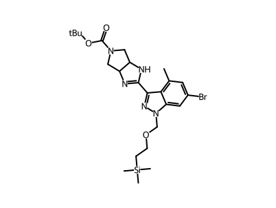 Cc1cc(Br)cc2c1c(C1=NC3CN(C(=O)OC(C)(C)C)CC3N1)nn2COCC[Si](C)(C)C